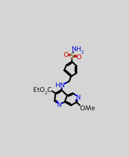 CCOC(=O)c1cnc2cc(OC)ncc2c1NCc1ccc(S(N)(=O)=O)cc1